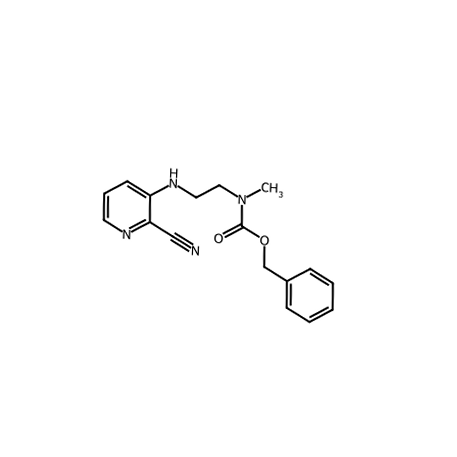 CN(CCNc1cccnc1C#N)C(=O)OCc1ccccc1